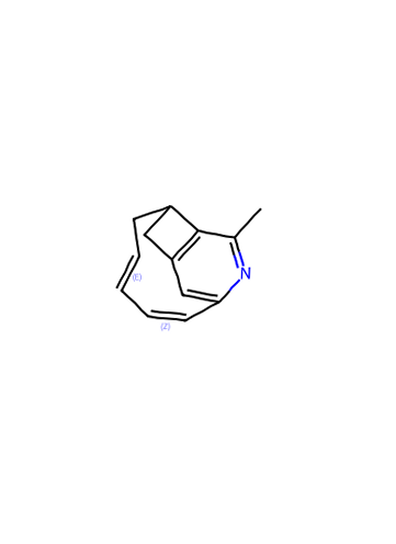 Cc1nc2cc3c1C(C/C=C/C=C\2)C3